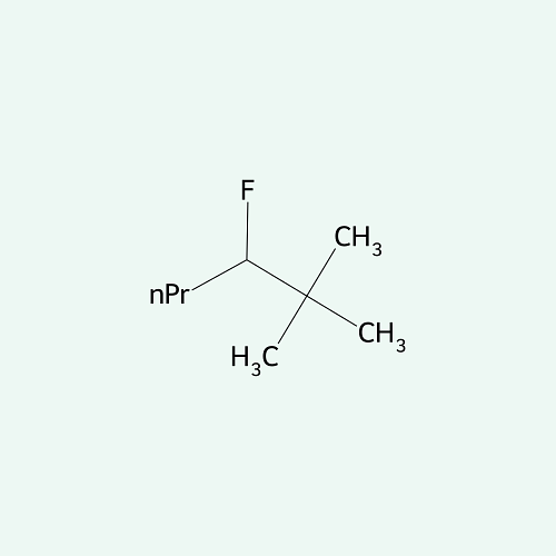 CCCC(F)C(C)(C)C